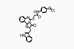 CCOc1ccc(NC(=O)CSC2=Nc3ccccc3C3=NC(Cc4c[nH]c5ccccc45)C(=O)N23)cc1